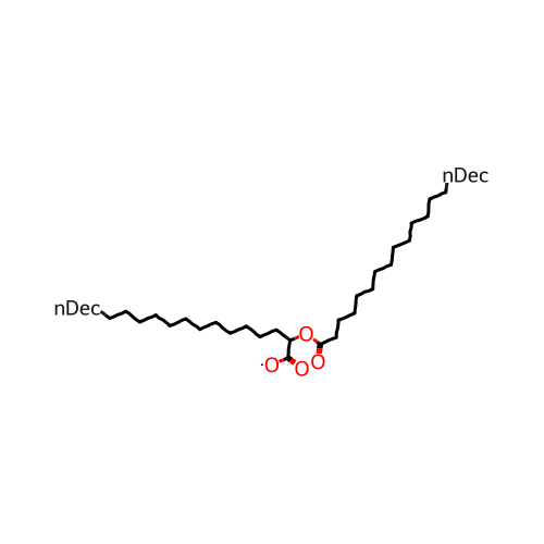 CCCCCCCCCCCCCCCCCCCCCCCC(=O)OC(CCCCCCCCCCCCCCCCCCCCCC)C([O])=O